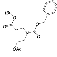 CC(=O)OCCN(CCC(=O)OC(C)(C)C)C(=O)OCc1ccccc1